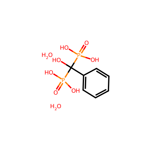 O.O.O=P(O)(O)C(O)(c1ccccc1)P(=O)(O)O